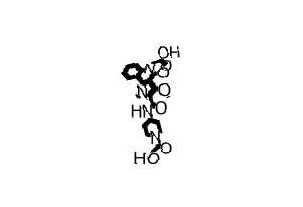 COc1c(C(=O)NC2CCN(C(=O)CO)CC2)n(C)c2c1c(=O)n(CC(=O)O)c1ccccc21